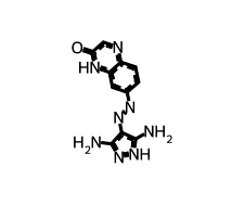 Nc1n[nH]c(N)c1N=Nc1ccc2ncc(=O)[nH]c2c1